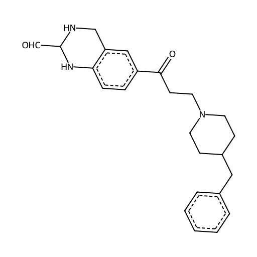 O=CC1NCc2cc(C(=O)CCN3CCC(Cc4ccccc4)CC3)ccc2N1